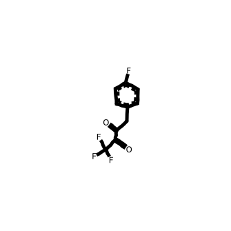 O=C(Cc1ccc(F)cc1)C(=O)C(F)(F)F